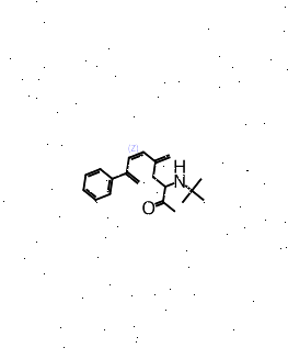 C=C(/C=C\C(=C)c1ccccc1)CC(NC(C)(C)C)C(C)=O